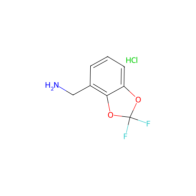 Cl.NCc1cccc2c1OC(F)(F)O2